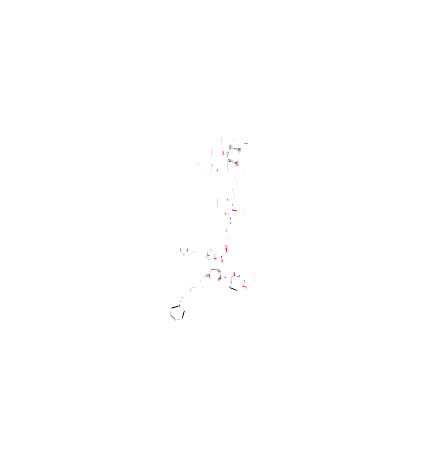 COP(=O)(O)OC1[C@@H](COC(=O)OCc2ccccc2)O[C@@H](n2ccc(=O)[nH]c2=O)[C@H]1CCCCCCCNC(=O)NCCCCO[C@@H]1O[C@H](CO)[C@H](O)[C@H](O)[C@H]1NC(C)=O